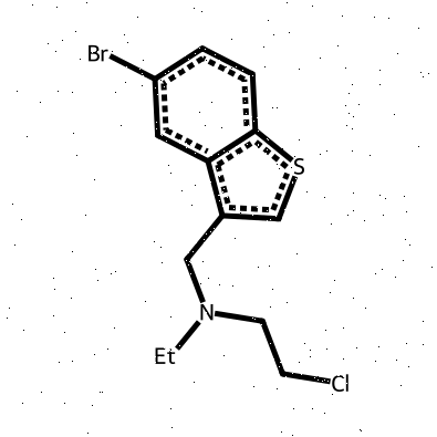 CCN(CCCl)Cc1csc2ccc(Br)cc12